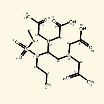 CSS(=O)(=O)N(CCS)C(CN(CC(=O)O)CC(=O)O)N(CC(=O)O)CC(=O)O